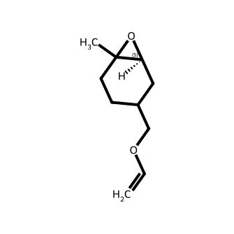 C=COCC1CCC2(C)O[C@H]2C1